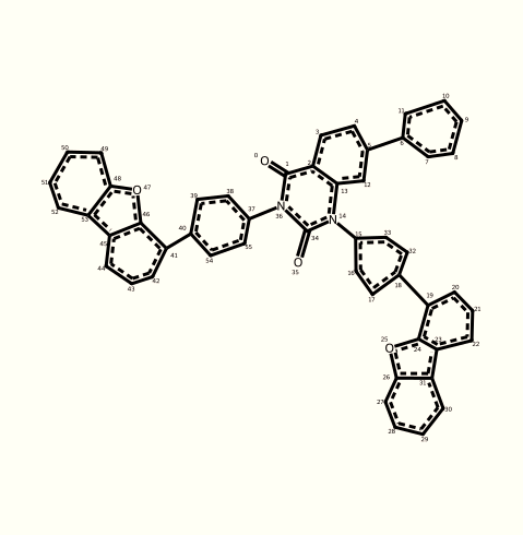 O=c1c2ccc(-c3ccccc3)cc2n(-c2ccc(-c3cccc4c3oc3ccccc34)cc2)c(=O)n1-c1ccc(-c2cccc3c2oc2ccccc23)cc1